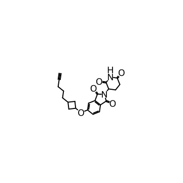 C#CCCCC1CC(Oc2ccc3c(c2)C(=O)N(C2CCC(=O)NC2=O)C3=O)C1